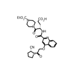 CCOC(=O)N1CCN(C(=O)[C@H](CCC(=O)O)NC(=O)c2cc(OCC(=O)N3CCC[C@@H]3C#N)c3ccccc3n2)CC1